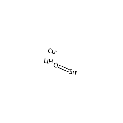 [Cu].[LiH].[O]=[Sn]